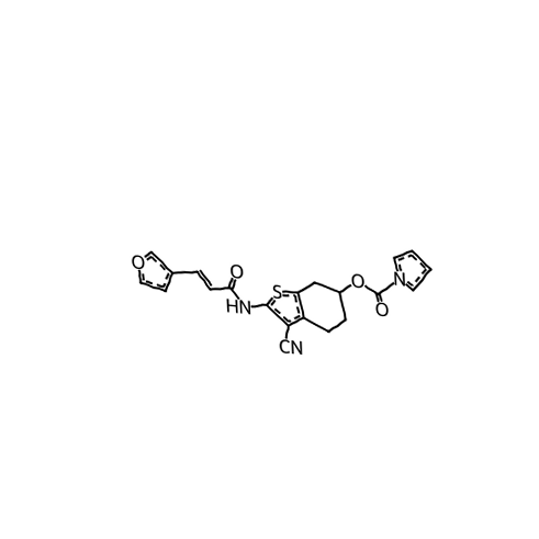 N#Cc1c(NC(=O)C=Cc2ccoc2)sc2c1CCC(OC(=O)n1cccc1)C2